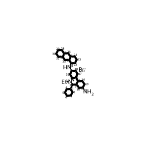 CC[n+]1c(-c2ccccc2)c2cc(N)ccc2c2ccc(Nc3cccc4cc5ccccc5cc34)cc21.[Br-]